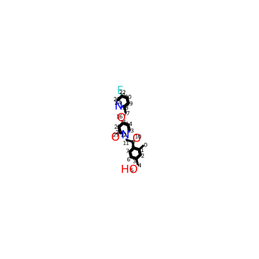 Cc1cc(CO)ccc1C(=O)Cn1ccc(OCc2ccc(F)cn2)cc1=O